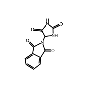 O=C1NC(=O)C(N2C(=O)c3ccccc3C2=O)N1